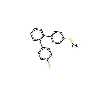 CSc1ccc(-c2ccccc2-c2ccc(F)cc2)cc1